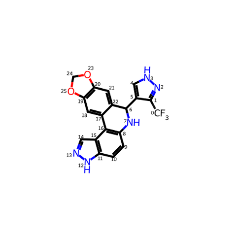 FC(F)(F)c1n[nH]cc1C1Nc2ccc3[nH]ncc3c2-c2cc3c(cc21)OCO3